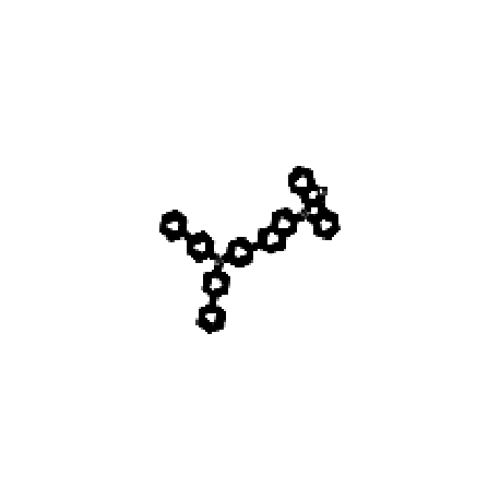 c1ccc(-c2ccc(N(c3ccc(-c4ccccc4)cc3)c3ccc(-c4ccc5cc(-n6c7ccccc7c7oc8ccccc8c76)ccc5c4)cc3)cc2)cc1